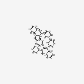 c1ccc(-c2nc(-c3cccc(-c4cccc(-c5nc6ccccc6c6nc7ccccn7c56)c4)c3)c3ccccc3n2)cc1